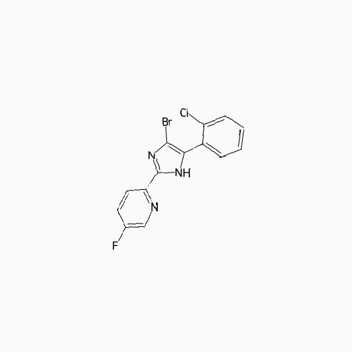 Fc1ccc(-c2nc(Br)c(-c3ccccc3Cl)[nH]2)nc1